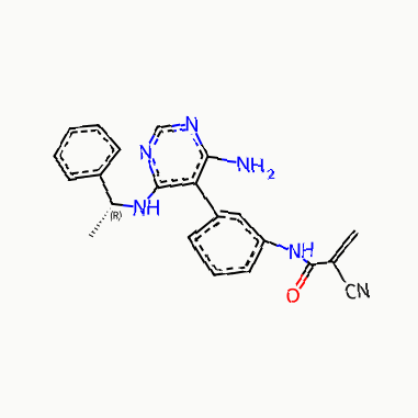 C=C(C#N)C(=O)Nc1cccc(-c2c(N)ncnc2N[C@H](C)c2ccccc2)c1